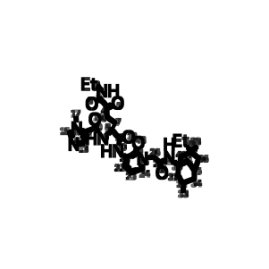 CCNC(=O)C(=O)CC[C@H](NC(=O)c1cncn1C)C(=O)Nc1cccn(CC(=O)NC23CC(C)CC(CC(C)(CC)C2)C3)c1=O